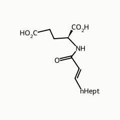 CCCCCCCC=CC(=O)N[C@@H](CCC(=O)O)C(=O)O